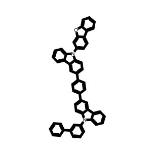 c1ccc(-c2cccc(-n3c4ccccc4c4cc(-c5ccc(-c6ccc7c(c6)c6ccccc6n7-c6ccc7c(c6)oc6ccccc67)cc5)ccc43)c2)cc1